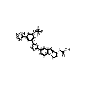 O=C(O)C[C@@H]1CCn2c1cc1cc(-c3noc(-c4cc(OC(F)(F)F)cc(-c5nnn[nH]5)c4)n3)ccc12